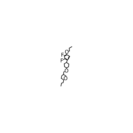 CCCOc1ccc(C2CCC(OCC3CCC(CCC)OC3)CC2)c(F)c1F